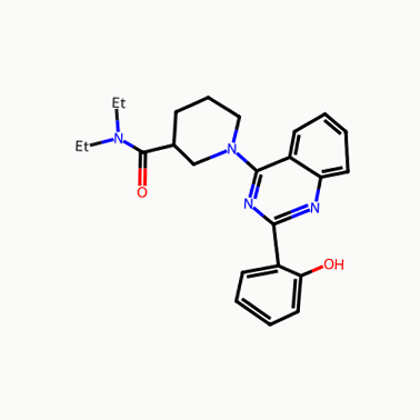 CCN(CC)C(=O)C1CCCN(c2nc(-c3ccccc3O)nc3ccccc23)C1